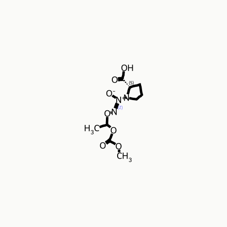 COC(=O)OC(C)O/N=[N+](\[O-])N1CCC[C@H]1C(=O)O